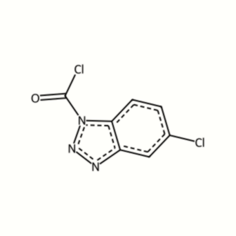 O=C(Cl)n1nnc2cc(Cl)ccc21